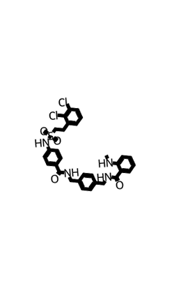 CNc1ccccc1C(=O)NCc1ccc(CNC(=O)c2ccc(NS(=O)(=O)CCc3cccc(Cl)c3Cl)cc2)cc1